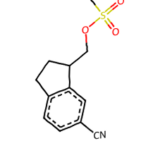 CS(=O)(=O)OCC1CCc2ccc(C#N)cc21